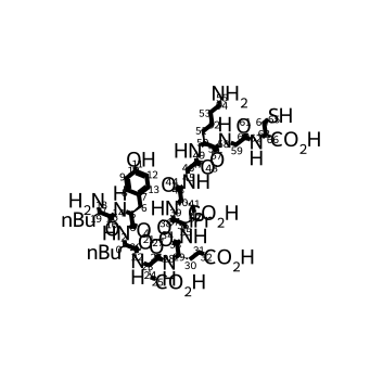 CCCC[C@H](NC(=O)[C@H](Cc1ccc(O)cc1)NC(=O)[C@@H](N)CCCC)C(=O)N[C@@H](CC(=O)O)C(=O)N[C@@H](CCC(=O)O)C(=O)N[C@H](C(=O)N[C@@H](CC(=O)O)C(=O)NCC(=O)N[C@@H](CCCCN)C(=O)NCC(=O)N[C@@H](CS)C(=O)O)C(C)C